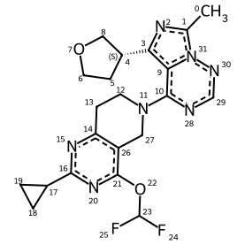 Cc1nc([C@@H]2CCOC2)c2c(N3CCc4nc(C5CC5)nc(OC(F)F)c4C3)ncnn12